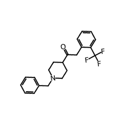 O=C(Cc1ccccc1C(F)(F)F)C1CCN(Cc2ccccc2)CC1